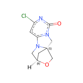 O=c1nc(Cl)cc2n1C[C@@]13CO[C@@H](CN21)C3